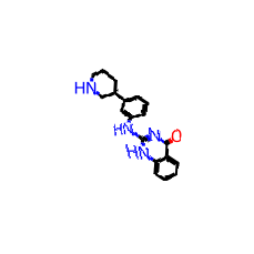 O=c1nc(Nc2cccc(C3CCCNC3)c2)[nH]c2ccccc12